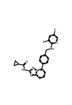 O=C(Nc1nc2cccc(-c3ccc(CNc4ncc(F)cc4F)cc3)n2n1)C1CC1